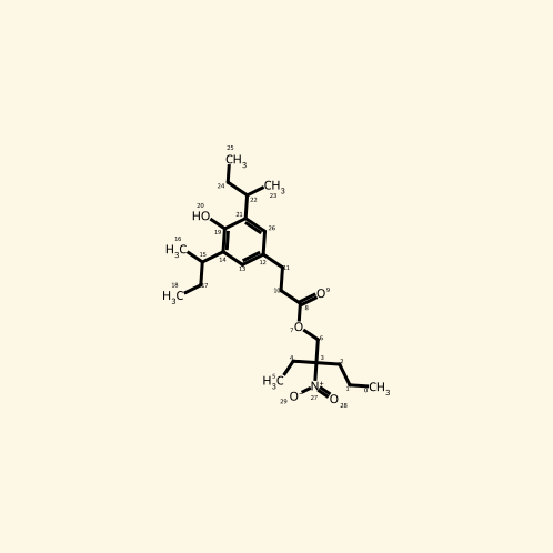 CCCC(CC)(COC(=O)CCc1cc(C(C)CC)c(O)c(C(C)CC)c1)[N+](=O)[O-]